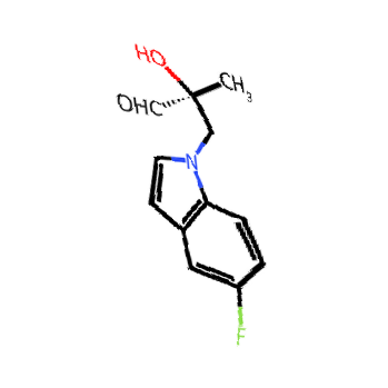 C[C@@](O)(C=O)Cn1ccc2cc(F)ccc21